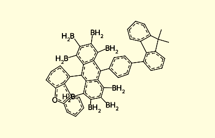 Bc1c(B)c(B)c2c(-c3cccc4oc5ccccc5c34)c3c(B)c(B)c(B)c(B)c3c(-c3ccc(-c4cccc5c4-c4ccccc4C5(C)C)cc3)c2c1B